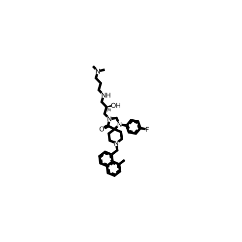 Cc1cccc2cccc(CN3CCC4(CC3)C(=O)N(C[C@H](O)CNCCCN(C)C)CN4c3ccc(F)cc3)c12